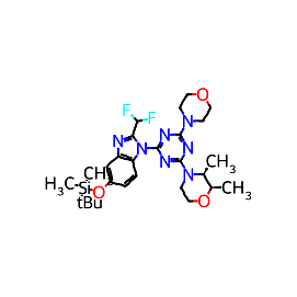 C[C@H]1OCCN(c2nc(N3CCOCC3)nc(-n3c(C(F)F)nc4cc(O[Si](C)(C)C(C)(C)C)ccc43)n2)[C@H]1C